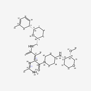 C=C(NC[C@H]1CCC[C@@H](C2C=CC=C(C)C2)O1)/C(C)=C(\N=C(\C)N)C(=O)N1CCC(N[C@H]2CCOC[C@H]2OC)CC1